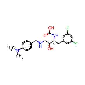 CN(C)c1ccc(CNC[C@H](O)[C@H](Cc2cc(F)cc(F)c2)NC(=O)O)cc1